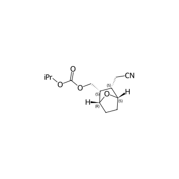 CC(C)OC(=O)OC[C@@H]1[C@H](CC#N)[C@@H]2CC[C@H]1O2